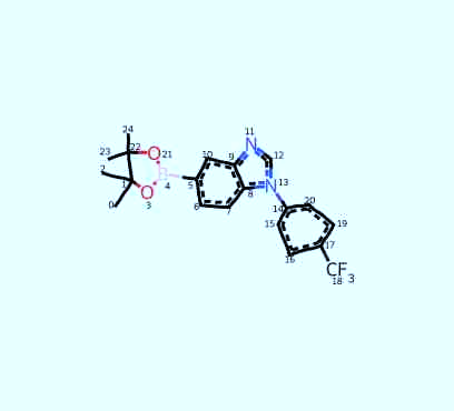 CC1(C)OB(c2ccc3c(c2)ncn3-c2ccc(C(F)(F)F)cc2)OC1(C)C